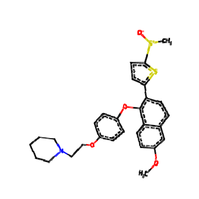 COc1ccc2c(Oc3ccc(OCCN4CCCCC4)cc3)c(-c3ccc([S+](C)[O-])s3)ccc2c1